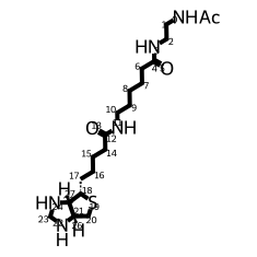 CC(=O)NCCNC(=O)CCCCCNC(=O)CCCC[C@@H]1SC[C@@H]2NCN[C@@H]21